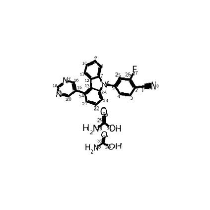 N#Cc1ccc(-n2c3ccccc3c3c(-c4cncnc4)cccc32)cc1F.NC(=O)O.NC(=O)O